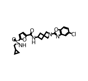 N=S(=O)(CC1CC1)c1ccc(C(=O)NC2CC3(C2)CN(c2nc4cc(Cl)ccc4o2)C3)o1